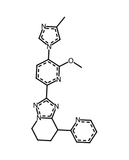 COc1nc(-c2nc3n(n2)CCCC3c2ccccn2)ccc1-n1cnc(C)c1